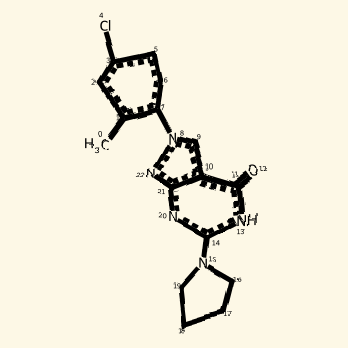 Cc1cc(Cl)ccc1-n1cc2c(=O)[nH]c(N3CCCC3)nc2n1